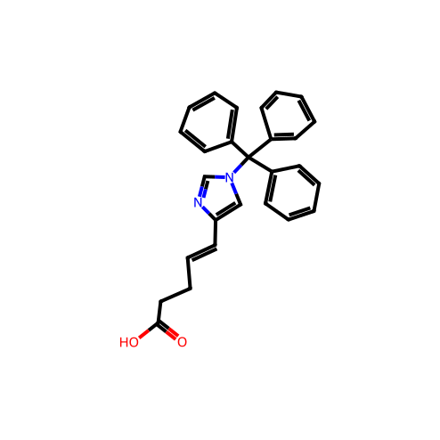 O=C(O)CC/C=C/c1cn(C(c2ccccc2)(c2ccccc2)c2ccccc2)cn1